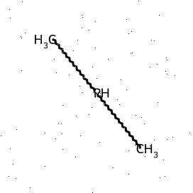 CCCCCCCCCCCCCCCCCCCCCCCCCPCCCCCCCCCCCCCCCCCCCCCCCCC